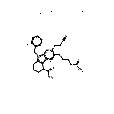 N#CCCc1cc2c(cc1OCCCC(=O)O)c1c(n2Cc2ccccc2)CCCC1C(N)=O